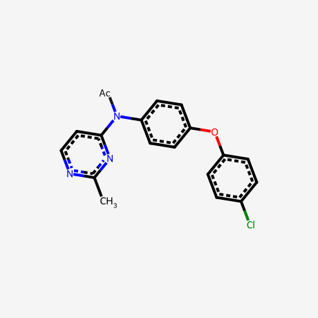 CC(=O)N(c1ccc(Oc2ccc(Cl)cc2)cc1)c1ccnc(C)n1